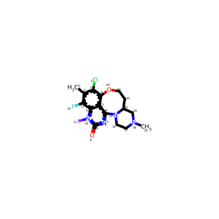 Cc1c(Cl)c2c3c(nc(=O)n(I)c3c1F)N1CCN(C)CC1CCO2